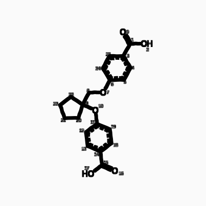 O=C(O)c1ccc(OCC2(Oc3ccc(C(=O)O)cc3)CCCC2)cc1